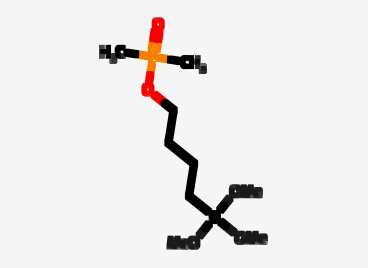 CO[Si](CCCCOP(C)(C)=O)(OC)OC